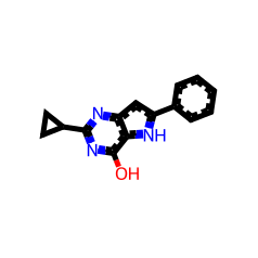 Oc1nc(C2CC2)nc2cc(-c3ccccc3)[nH]c12